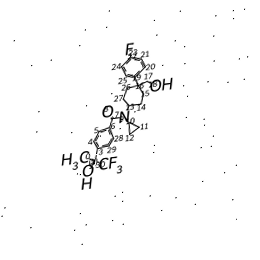 C[C@](O)(c1ccc(C(=O)N(C2CC2)C2CCC(CO)(c3ccc(F)cc3)CC2)cc1)C(F)(F)F